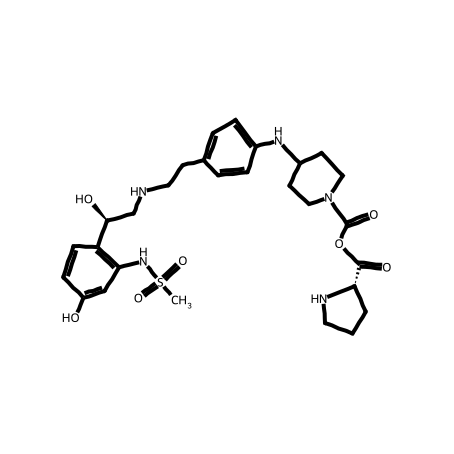 CS(=O)(=O)Nc1cc(O)ccc1[C@@H](O)CNCCc1ccc(NC2CCN(C(=O)OC(=O)[C@@H]3CCCN3)CC2)cc1